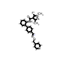 Cc1nn(C)c(F)c1C(=O)Nc1ccccc1-c1ccc(/C=N/OCc2ccncc2)cc1